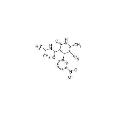 CC1=C(C#N)C(c2cccc([N+](=O)[O-])c2)N(C(=O)NC(C)C)C(=O)N1